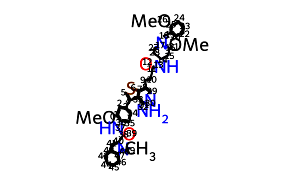 COc1cc(-c2csc3c(C=CC(=O)NC4CCN(Cc5c(OC)cccc5OC)CC4)cnc(N)c23)ccc1NC(=O)c1cc2ccccc2n1C